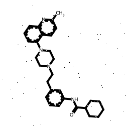 Cc1ccc2c(N3CCN(CCc4cccc(NC(=O)C5CCCCC5)c4)CC3)cccc2n1